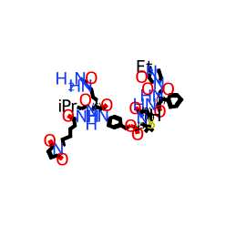 CCN1CCN(C(=O)N[C@@H](C(=O)N[C@@H]2C(=O)N3[C@@H]2SC(C)(C)[C@@H]3C(=O)OCc2ccc(NC(=O)[C@H](CCCNC(N)=O)NC(=O)C(NC(=O)CCCCCN3C(=O)C=CC3=O)C(C)C)cc2)c2ccccc2)C(=O)C1=O